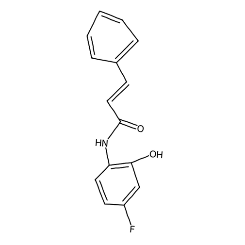 O=C(/C=C/c1ccccc1)Nc1ccc(F)cc1O